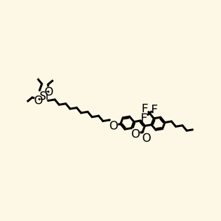 CCCCCc1ccc(-c2cc3ccc(OCCCCCCCCCCCC[Si](CCC)(OCC)OCC)cc3oc2=O)c(C(F)(F)F)c1